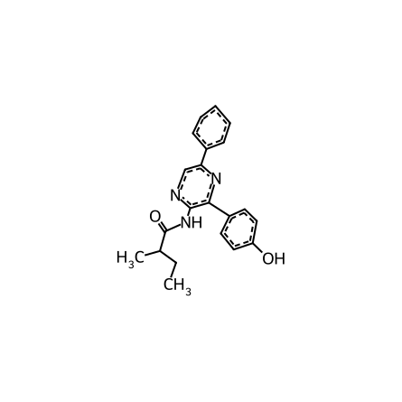 CCC(C)C(=O)Nc1ncc(-c2ccccc2)nc1-c1ccc(O)cc1